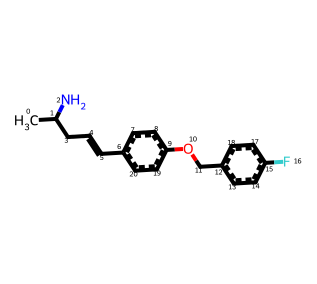 CC(N)CC=Cc1ccc(OCc2ccc(F)cc2)cc1